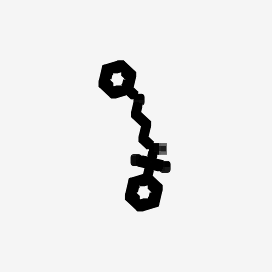 O=S(=O)(NCCCOc1ccccc1)c1ccccc1